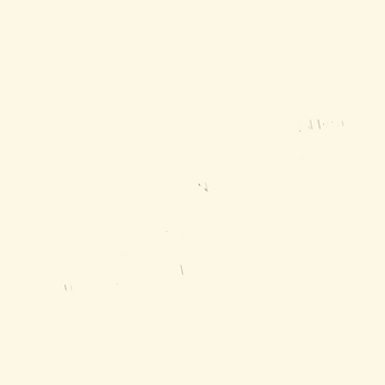 CCCCCCCCOc1ccc(C(=O)Oc2ccc(CC[C@H]3CC[C@H](CCCCCCC)CC3)nc2)c(F)c1F